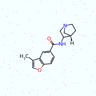 Cc1coc2ccc(C(=O)NC3CN4CC[C@H]3C4)cc12